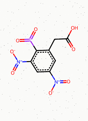 O=C(O)Cc1cc([N+](=O)[O-])cc([N+](=O)[O-])c1I(=O)=O